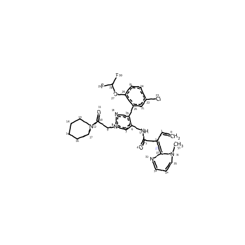 C=C/C(C(=O)Nc1cn(CC(=O)N2CCCCC2)nc1-c1cc(Cl)ccc1OC(F)F)=C1/N=CC=CN1C